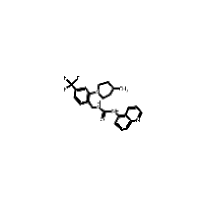 CC1CCN(c2cc(C(F)(F)F)ccc2CNC(=O)Nc2cccc3ncccc23)CC1